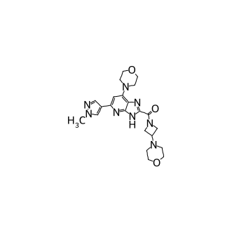 Cn1cc(-c2cc(N3CCOCC3)c3nc(C(=O)N4CC(N5CCOCC5)C4)[nH]c3n2)cn1